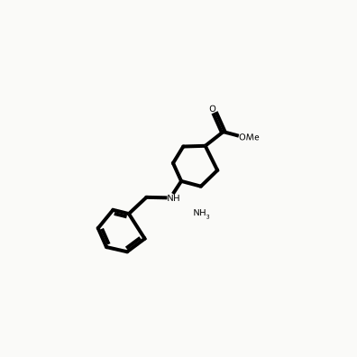 COC(=O)C1CCC(NCc2ccccc2)CC1.N